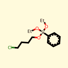 CCO[Si](OCC)(OCCCCCl)c1ccccc1